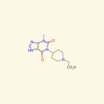 Cn1c(=O)n(C2CCN(CC(=O)O)CC2)c(=O)c2[nH]cnc21